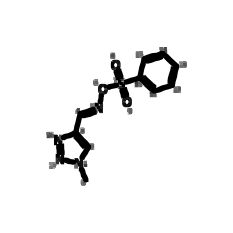 Cn1cc(C=NOS(=O)(=O)c2ccccc2)nn1